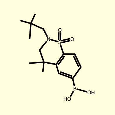 CC(C)(C)CN1CC(C)(C)c2cc(B(O)O)ccc2S1(=O)=O